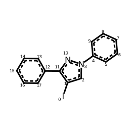 Ic1cn(-c2ccccc2)nc1-c1ccccc1